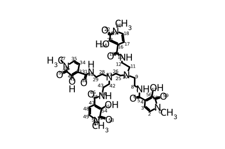 Cn1ccc(C(=O)NCCN(CCNC(=O)c2ccn(C)c(=O)c2O)CCN(CCNC(=O)c2ccn(C)c(=O)c2O)CCNC(=O)c2ccn(C)c(=O)c2O)c(O)c1=O